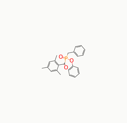 Cc1cc(C)c(C(=O)P(=O)(Cc2ccccc2)Oc2ccccc2)c(C)c1